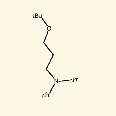 CCCN(CCC)CCCOC(C)(C)C